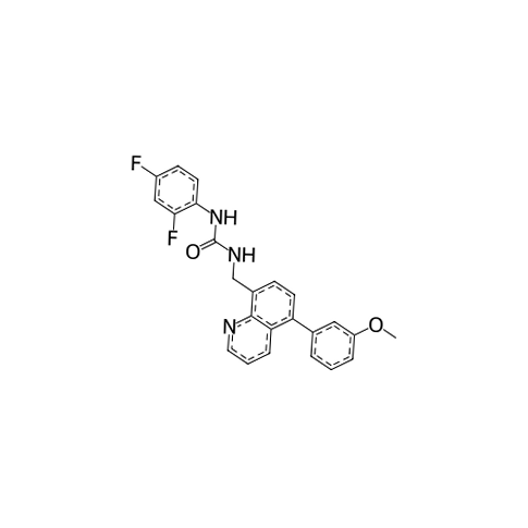 COc1cccc(-c2ccc(CNC(=O)Nc3ccc(F)cc3F)c3ncccc23)c1